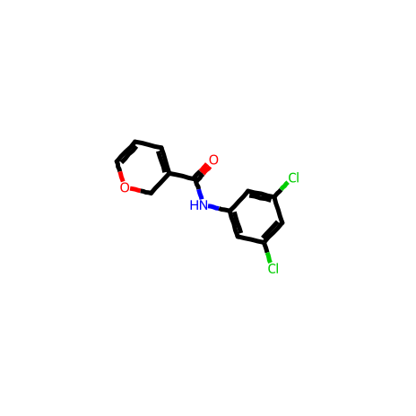 O=C(Nc1cc(Cl)cc(Cl)c1)C1=CC=COC1